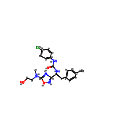 CCc1ccc(CC(NC(=O)Nc2ccc(Cl)cc2)c2noc(N(C)CCO)n2)cc1